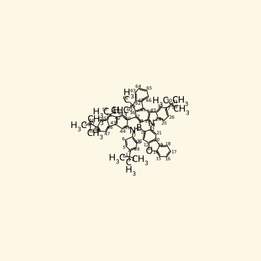 CC(C)(C)c1ccc(N2B3c4cc5oc6ccccc6c5cc4-n4c5ccc(C(C)(C)C)cc5c5c6c(c(c3c54)-c3cc4c(cc32)-c2ccc(C(C)(C)C)cc2C4(C)C)C(C)(C)c2ccccc2-6)cc1